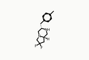 Cc1ccc(C[C@H]2CN3CC(F)(F)C[C@H]3CN2)cc1